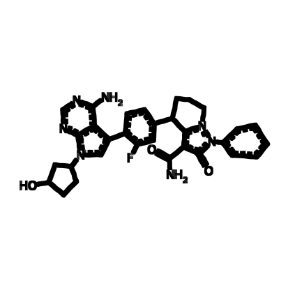 NC(=O)c1c2n(n(-c3ccccc3)c1=O)CCCC2c1ccc(-c2cn(C3CCC(O)C3)c3ncnc(N)c23)c(F)c1